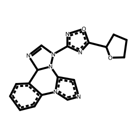 C1=NC2c3ccccc3-n3cncc3N2N1c1noc(C2CCCO2)n1